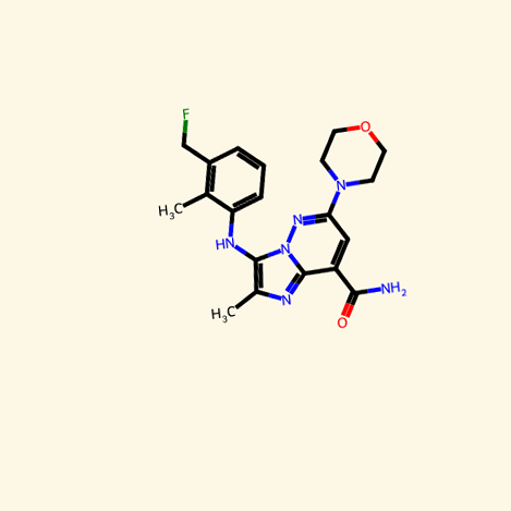 Cc1nc2c(C(N)=O)cc(N3CCOCC3)nn2c1Nc1cccc(CF)c1C